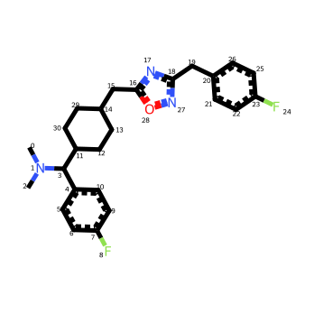 CN(C)C(c1ccc(F)cc1)C1CCC(Cc2nc(Cc3ccc(F)cc3)no2)CC1